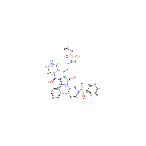 CC(C)CS(=O)(=O)NCCCn1c(C(=O)N2CCNCC2)c(-c2ccccc2)n(C2CCCN(S(=O)(=O)c3ccccc3)C2)c1=O